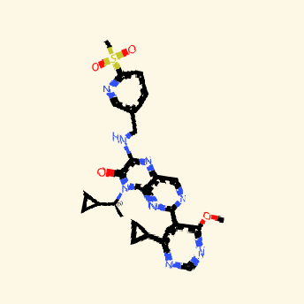 COc1ncnc(C2CC2)c1-c1ncc2nc(NCc3ccc(S(C)(=O)=O)nc3)c(=O)n([C@@H](C)C3CC3)c2n1